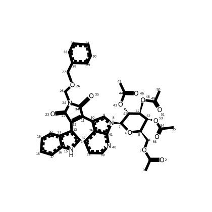 CC(=O)OC[C@H]1O[C@@H](n2cc(C3=C(c4c[nH]c5ccccc45)C(=O)N(COCc4ccccc4)C3=O)c3cccnc32)[C@H](OC(C)=O)[C@@H](OC(C)=O)[C@@H]1OC(C)=O